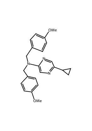 COc1ccc(CN(Cc2ccc(OC)cc2)c2cnc(C3CC3)cn2)cc1